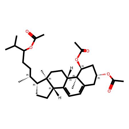 CC(=O)OC(CC[C@@H](C)[C@H]1CC[C@H]2C3=CC=C4C[C@@H](OC(C)=O)C[C@H](OC(C)=O)[C@]4(C)[C@H]3CC[C@]12C)C(C)C